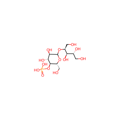 O=P(O)(O)O[C@H]1[C@H](O)[C@@H](O)C(O[C@@H](CO)[C@H](O)[C@H](O)CO)O[C@@H]1CO